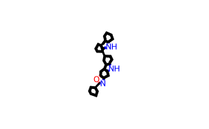 c1ccc(-c2nc3cc4[nH]c5ccc(-c6cccc7c6[nH]c6ccccc67)cc5c4cc3o2)cc1